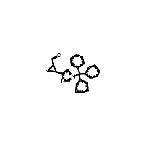 O=CC1[CH]C1c1cn(C(c2ccccc2)(c2ccccc2)c2ccccc2)cn1